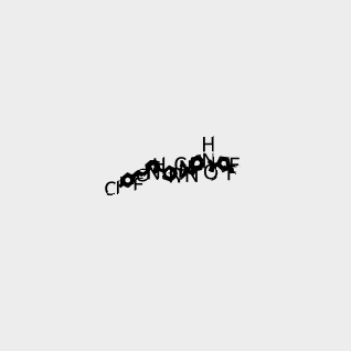 Cn1c(CN2CCC(c3cccc(OCc4ccc(Cl)cc4F)n3)CC2)nc2cc(NC(=O)C3CCC(F)(F)C3)ccc21